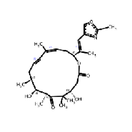 CC1=C/C[C@@H](/C(C)=C/c2coc(C)n2)OC(=O)C[C@H](O)C(C)(C)C(=O)[C@H](C)[C@@H](O)[C@@H](C)C\C=C\1